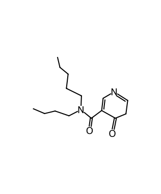 CCCCCN(CCCC)C(=O)C1=CN=CCC1=O